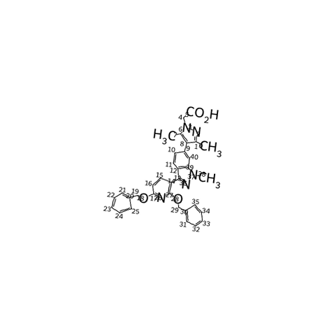 Cc1nn(CC(=O)O)c(C)c1-c1ccc2c(-c3ccc(OCc4ccccc4)nc3OCc3ccccc3)nn(C)c2c1